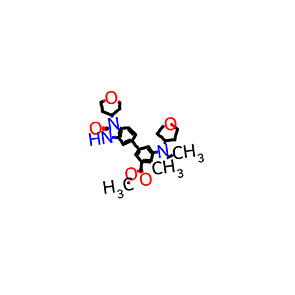 CCN(c1cc(-c2ccc3c(c2)[nH]c(=O)n3C2CCOCC2)cc(C(=O)OC)c1C)C1CCOCC1